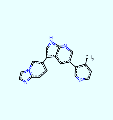 Cc1ccncc1-c1cnc2[nH]cc(-c3ccc4nccn4c3)c2c1